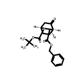 CC(C)(C)OC(=O)N1[C@H]2CC[C@H](C(=O)C2)[C@H]1C(=O)OCc1ccccc1